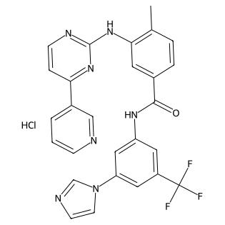 Cc1ccc(C(=O)Nc2cc(-n3ccnc3)cc(C(F)(F)F)c2)cc1Nc1nccc(-c2cccnc2)n1.Cl